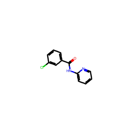 O=C(Nc1ccccn1)c1cccc(Cl)c1